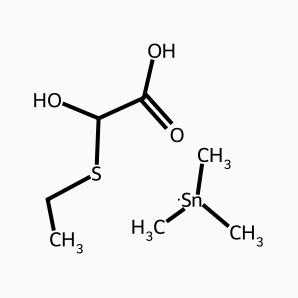 CCSC(O)C(=O)O.[CH3][Sn]([CH3])[CH3]